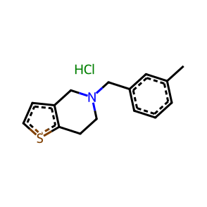 Cc1cccc(CN2CCc3sccc3C2)c1.Cl